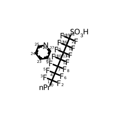 CCCC(F)(F)C(F)(F)C(F)(F)C(F)(F)C(F)(F)C(F)(F)C(F)(F)S(=O)(=O)O.c1ccncc1